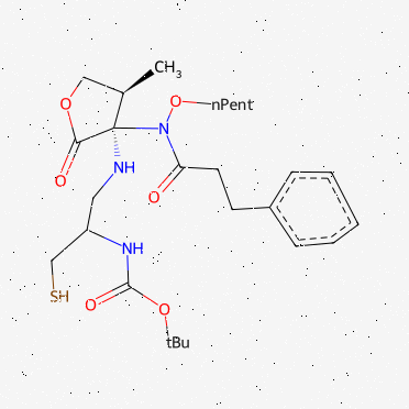 CCCCCON(C(=O)CCc1ccccc1)[C@@]1(NCC(CS)NC(=O)OC(C)(C)C)C(=O)OC[C@H]1C